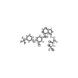 CN(CCn1ccc2ncnc(Nc3ccc(Oc4cccc(C(F)(F)F)c4)c(Cl)c3)c21)C(=O)CS(C)(=O)=O